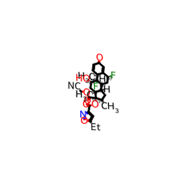 CCc1cc(C(=O)O[C@]2(C(=O)OCC#N)[C@H](C)C[C@H]3[C@@H]4C[C@H](F)C5=CC(=O)C=C[C@]5(C)[C@@]4(F)[C@@H](O)C[C@@]32C)no1